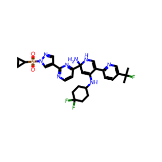 CC(C)(F)c1ccc(C2=CNC(N)(c3ccnc(-c4cnn(S(=O)(=O)C5CC5)c4)n3)C=C2NC2CCC(F)(F)CC2)nc1